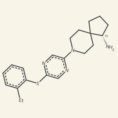 CCc1ccccc1Sc1cnc(N2CCC3(CCC[C@@H]3N)CC2)cn1